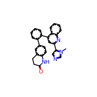 Cn1cncc1-c1cc(-c2ccccc2-c2ccc3c(c2)CCC(=O)N3)c2ccccc2n1